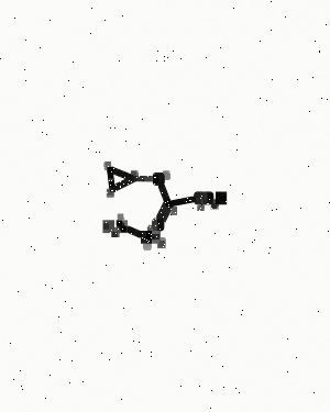 NN.O=C(O)C(=O)OC1CC1